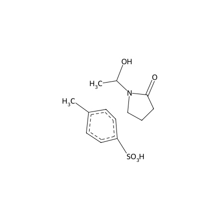 CC(O)N1CCCC1=O.Cc1ccc(S(=O)(=O)O)cc1